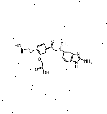 CN(CC(=O)c1ccc(OCC(=O)O)c(OCC(=O)O)c1)c1ccc2[nH]c(N)nc2c1